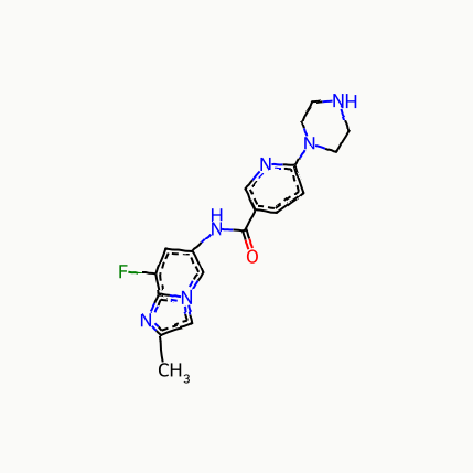 Cc1cn2cc(NC(=O)c3ccc(N4CCNCC4)nc3)cc(F)c2n1